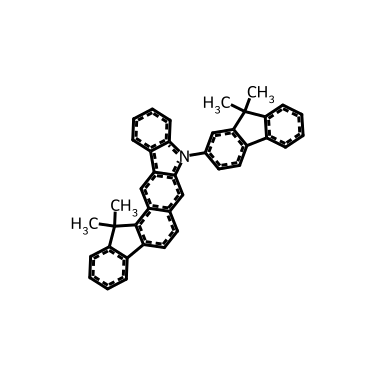 CC1(C)c2ccccc2-c2ccc(-n3c4ccccc4c4cc5c6c(ccc5cc43)-c3ccccc3C6(C)C)cc21